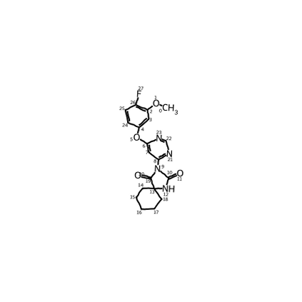 COc1cc(Oc2cc(N3C(=O)NC4(CCCCC4)C3=O)ncn2)ccc1F